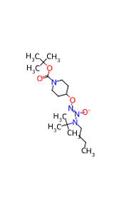 CCCCN(/[N+]([O-])=N/OC1CCN(C(=O)OC(C)(C)C)CC1)C(C)(C)C